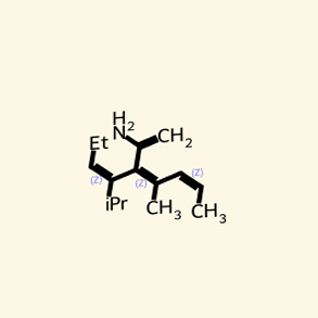 C=C(N)C(/C(=C\CC)C(C)C)=C(C)\C=C/C